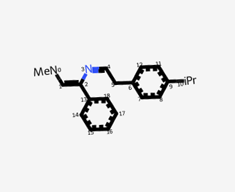 CN/C=C(\N=C/Cc1ccc(C(C)C)cc1)c1ccccc1